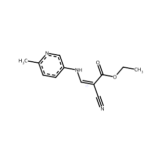 CCOC(=O)/C(C#N)=C\Nc1ccc(C)nc1